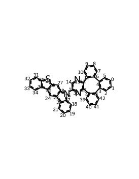 c1ccc2c(c1)-c1ccccc1-c1ncc(-n3c4ccccc4c4cc5c(cc43)sc3ccccc35)nc1-c1ccccc1-2